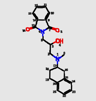 CN(CC(O)CN1C(=O)c2ccccc2C1=O)C1CCc2ccccc2C1